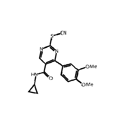 COc1ccc(-c2nc(SC#N)ncc2C(=O)NC2CC2)cc1OC